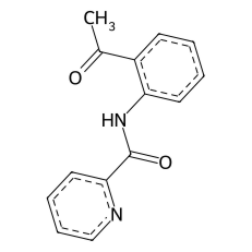 CC(=O)c1ccccc1NC(=O)c1ccccn1